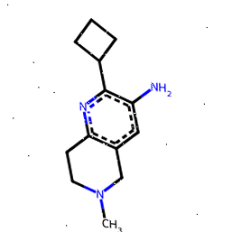 CN1CCc2nc(C3CCC3)c(N)cc2C1